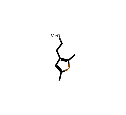 COCCc1cc(C)sc1C